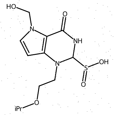 CC(C)OCCN1c2ccn(CO)c2C(=O)NC1S(=O)O